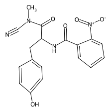 CN(C#N)C(=O)C(Cc1ccc(O)cc1)NC(=O)c1ccccc1[N+](=O)[O-]